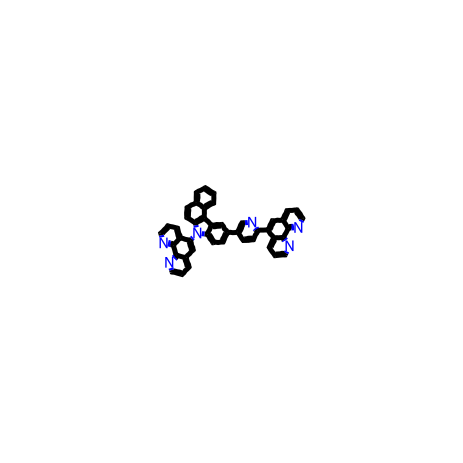 c1ccc2c(c1)ccc1c2c2cc(-c3ccc(-c4cc5cccnc5c5ncccc45)nc3)ccc2n1-c1cc2cccnc2c2ncccc12